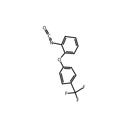 O=C=Nc1ccccc1Oc1ccc(C(F)(F)F)cc1